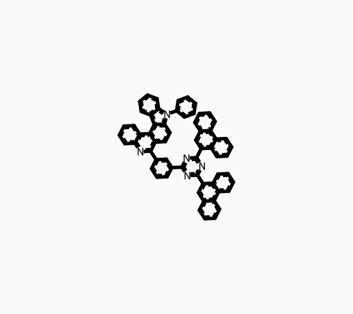 c1ccc(-n2c3ccccc3c3c4c(ccc32)c(-c2cccc(-c3nc(-c5cc6ccccc6c6ccccc56)nc(-c5cc6ccccc6c6ccccc56)n3)c2)nc2ccccc24)cc1